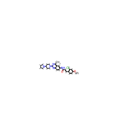 Cc1nc(N2CCC(N3CCCC3)CC2)nc2ccc(NC(=O)C=Cc3ccc(OC(C)C)cc3Cl)cc12